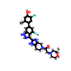 CCc1cc(O)c(F)cc1-c1cc(F)c2c(-c3nc4c([nH]3)CCN(C(=O)CN3CCO[C@@H](C)C3)C4)n[nH]c2c1